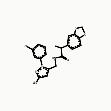 CC(C(=O)NCc1cc(C(C)(C)C)nn1-c1cccc(Cl)c1)c1ccc2c(c1)OCO2